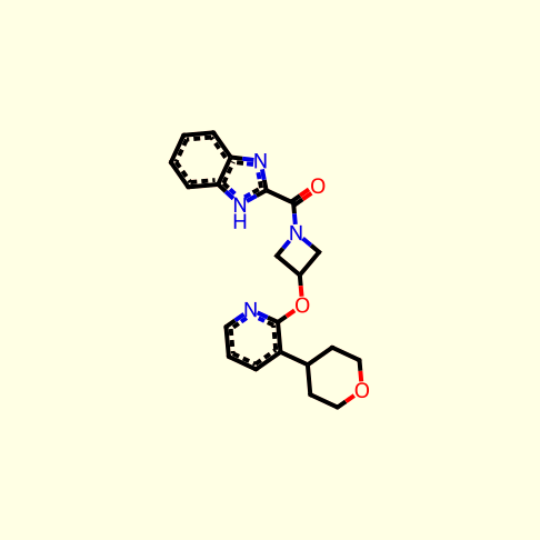 O=C(c1nc2ccccc2[nH]1)N1CC(Oc2ncccc2C2CCOCC2)C1